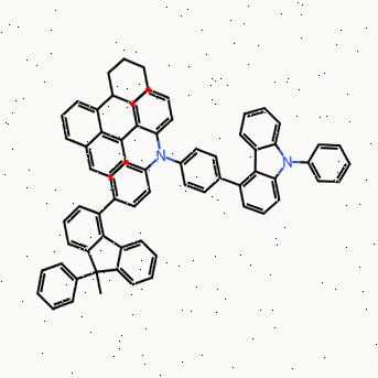 CC1(c2ccccc2)c2ccccc2-c2c(-c3ccc(N(c4ccc(-c5cccc6c5c5ccccc5n6-c5ccccc5)cc4)c4ccccc4-c4cccc5cccc(C6CCCCC6)c45)cc3)cccc21